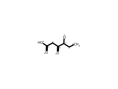 CCC(Cl)C(=O)CC(=O)O